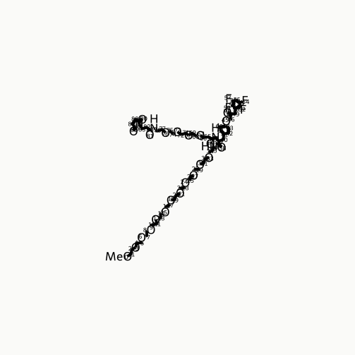 COCCOCCOCCOCCOCCOCCOCCOCCOCCOCCOCCOCCNC(=O)C(Cc1ccc(OCC(=O)Cc2c(F)c(F)cc(F)c2F)cc1)NC(=O)CCOCCOCCOCCOCCNC(=O)CCN1C(=O)C=CC1=O